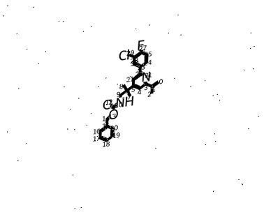 C=C(C)c1cc(C(C)(C)CNC(=O)OCc2ccccc2)cc(-c2ccc(F)c(Cl)c2)n1